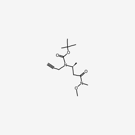 C#CCN(C(=O)OC(C)(C)C)[C@@H](C)CC(=O)N(C)OC